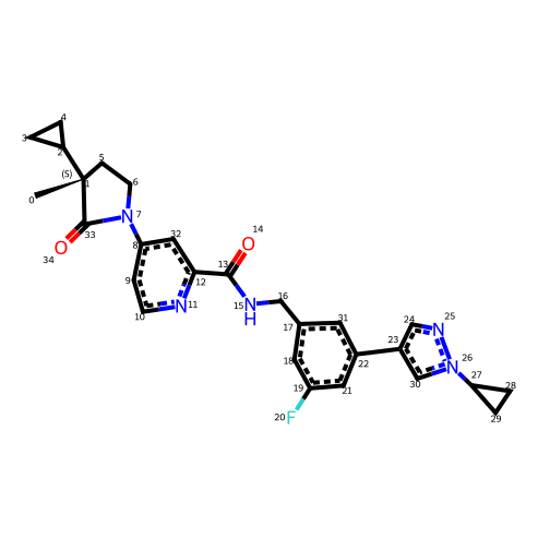 C[C@@]1(C2CC2)CCN(c2ccnc(C(=O)NCc3cc(F)cc(-c4cnn(C5CC5)c4)c3)c2)C1=O